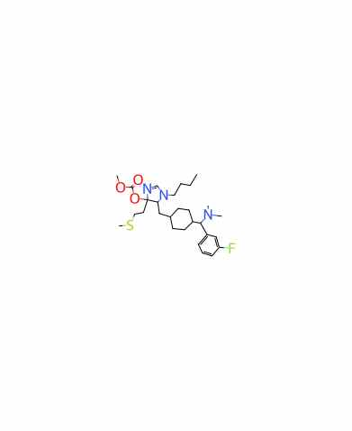 CCCCN1C=NC(CCSC)(OC(=O)OC)C1CC1CCC(C(c2cccc(F)c2)N(C)C)CC1